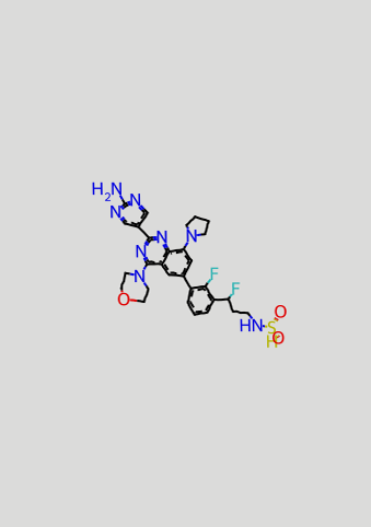 Nc1ncc(-c2nc(N3CCOCC3)c3cc(-c4cccc(C(F)CCN[SH](=O)=O)c4F)cc(N4CCCC4)c3n2)cn1